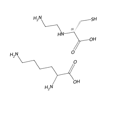 NCCCCC(N)C(=O)O.NCCN[C@H](CS)C(=O)O